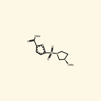 COC(=O)c1ccc(S(=O)(=O)N2CC[C@@H](OC)C2)s1